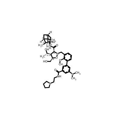 COc1c(CN2O[C@@H](CO)[C@@H]([C@H](C)O)[C@H]2C(=O)N[C@H]2C[C@H]3C[C@@H]([C@@H]2C)C3(C)C)cccc1-c1cc(C(=O)NCCN2CCCC2)cc(N(C)C)c1